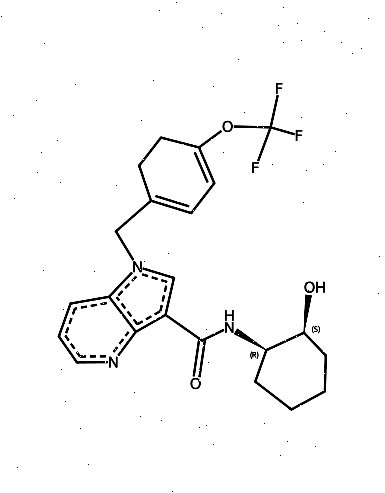 O=C(N[C@@H]1CCCC[C@@H]1O)c1cn(CC2=CC=C(OC(F)(F)F)CC2)c2cccnc12